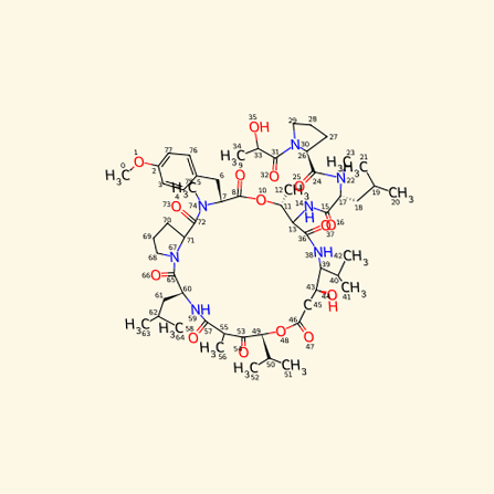 COc1ccc(C[C@H]2C(=O)O[C@H](C)C(NC(=O)[C@@H](CC(C)C)N(C)C(=O)[C@@H]3CCCN3C(=O)C(C)O)C(=O)NC(C(C)C)[C@@H](O)CC(=O)O[C@@H](C(C)C)C(=O)C(C)C(=O)N[C@@H](CC(C)C)C(=O)N3CCCC3C(=O)N2C)cc1